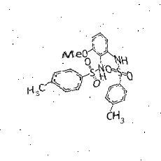 COc1cccc(NS(=O)(=O)c2ccc(C)cc2)c1NS(=O)(=O)c1ccc(C)cc1